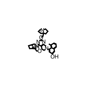 Cc1cccc2cc(O)cc(N3Cc4nc(OCC56CCCN5CCC6)nc5c4C(C3)OCC3C4CCC(CN53)N4)c12